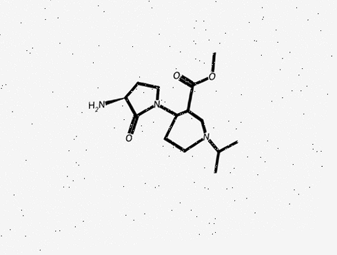 COC(=O)C1CN(C(C)C)CCC1N1CC[C@H](N)C1=O